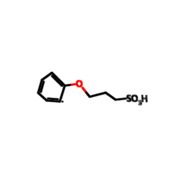 O=S(=O)(O)CCCOc1[c]cccc1